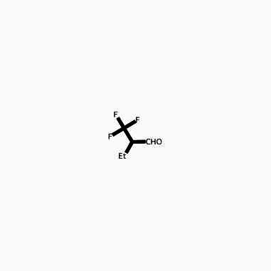 [CH2]CC(C=O)C(F)(F)F